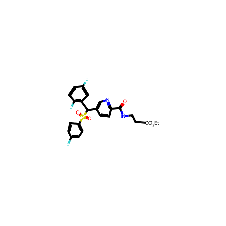 CCOC(=O)CCNC(=O)c1ccc(C(c2cc(F)ccc2F)S(=O)(=O)c2ccc(F)cc2)cn1